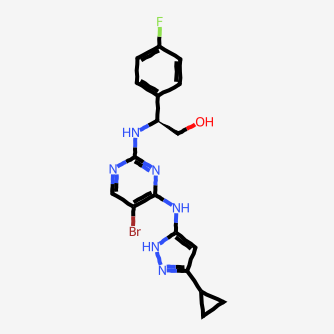 OC[C@@H](Nc1ncc(Br)c(Nc2cc(C3CC3)n[nH]2)n1)c1ccc(F)cc1